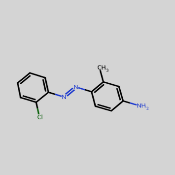 Cc1cc(N)ccc1N=Nc1ccccc1Cl